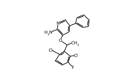 CC(Oc1cc(-c2ccccc2)cnc1N)c1c(Cl)ccc(F)c1Cl